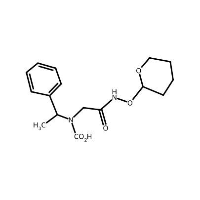 CC(c1ccccc1)N(CC(=O)NOC1CCCCO1)C(=O)O